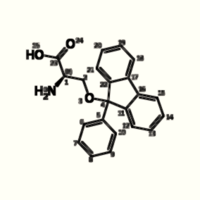 N[C@H](COC1(c2ccccc2)c2ccccc2-c2ccccc21)C(=O)O